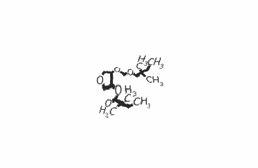 CCC(C)(C)COCOC1COCC1OC(=O)C(C)(C)CC